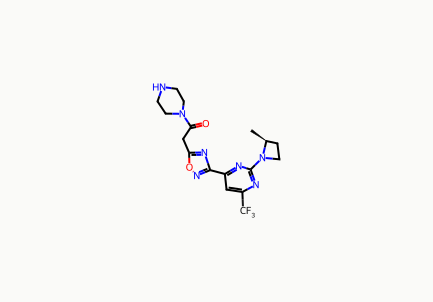 C[C@H]1CCN1c1nc(-c2noc(CC(=O)N3CCNCC3)n2)cc(C(F)(F)F)n1